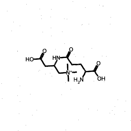 C[N+](C)(C)CC(CC(=O)O)NC(=O)CCC(N)C(=O)O